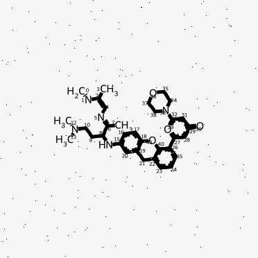 C=N/C(C)=C\N=C(/C)C(CCN(C)C)Nc1ccc2c(c1)Cc1cccc(-c3cc(=O)cc(N4CCOCC4)o3)c1O2